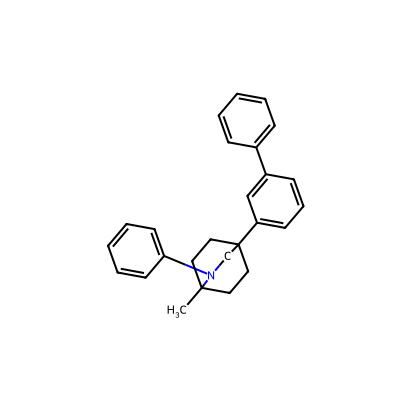 CC12CCC(c3cccc(-c4ccccc4)c3)(CC1)CN2c1ccccc1